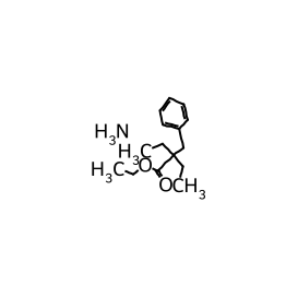 CCOC(=O)C(CC)(CC)Cc1ccccc1.N